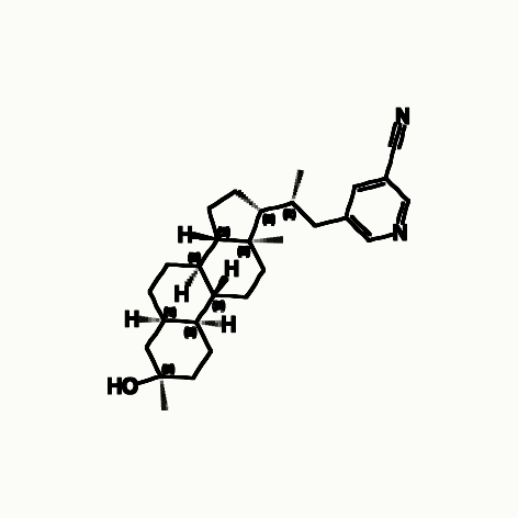 C[C@H](Cc1cncc(C#N)c1)[C@H]1CC[C@H]2[C@@H]3CC[C@@H]4C[C@](C)(O)CC[C@@H]4[C@H]3CC[C@]12C